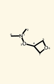 CN(C)OC1COC1